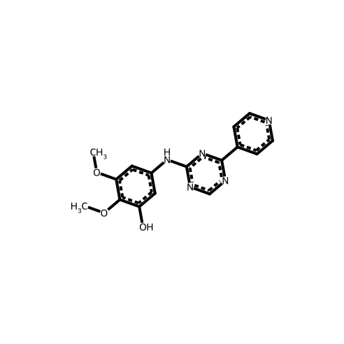 COc1cc(Nc2ncnc(-c3ccncc3)n2)cc(O)c1OC